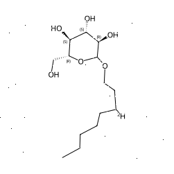 [2H]C(CCCCC)CCOC1O[C@H](CO)[C@@H](O)[C@H](O)[C@H]1O